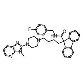 Cn1c(N2CCN(CCCCC3(C(=O)NCc4ccc(F)cc4)c4ccccc4-c4ccccc43)CC2)nc2cccnc21